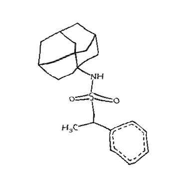 CC(c1ccccc1)S(=O)(=O)NC12CC3CC(CC(C3)C1)C2